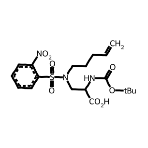 C=CCCCN(CC(NC(=O)OC(C)(C)C)C(=O)O)S(=O)(=O)c1ccccc1[N+](=O)[O-]